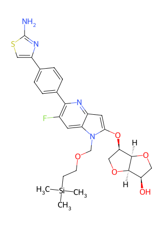 C[Si](C)(C)CCOCn1c(O[C@@H]2CO[C@H]3[C@@H]2OC[C@H]3O)cc2nc(-c3ccc(-c4csc(N)n4)cc3)c(F)cc21